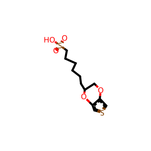 O=S(=O)(O)CCCCCCC1COc2cscc2O1